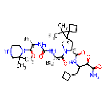 CC(C)[C@H](NC(=O)N[C@H](C(=O)N1C[C@]2(C[C@H]1C(=O)NC(CC1CCC1)C(=O)C(N)=O)C(C)(C)C21CCC1)C(C)(C)C)C(=O)N1CCNCC1(C)C